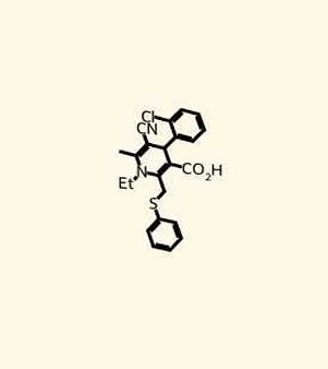 CCN1C(C)=C(C#N)C(c2ccccc2Cl)C(C(=O)O)=C1CSc1ccccc1